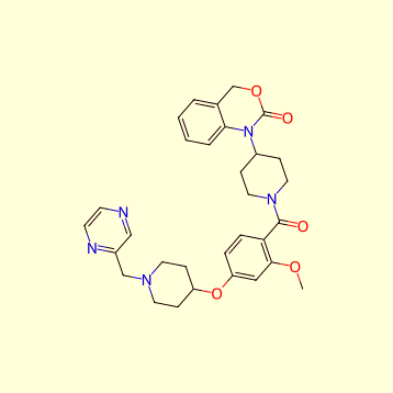 COc1cc(OC2CCN(Cc3cnccn3)CC2)ccc1C(=O)N1CCC(N2C(=O)OCc3ccccc32)CC1